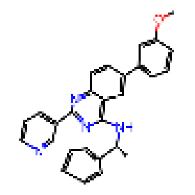 COc1cccc(-c2ccc3nc(-c4cccnc4)nc(N[C@@H](C)c4ccccc4)c3c2)c1